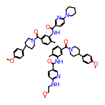 COCCNc1ccc(C(=O)Nc2cc(C(=O)N3CCC(c4ccc(OC)cc4)CC3)ccc2C)cn1.COc1ccc(C2CCN(C(=O)c3ccc(C)c(NC(=O)c4ccc(N5CCCCC5)nc4)c3)CC2)cc1